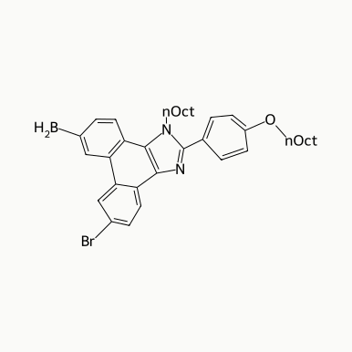 Bc1ccc2c(c1)c1cc(Br)ccc1c1nc(-c3ccc(OCCCCCCCC)cc3)n(CCCCCCCC)c21